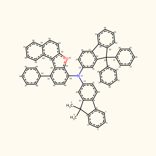 CC1(C)c2ccccc2-c2ccc(N(c3ccc4c(c3)C(c3ccccc3)(c3ccccc3)c3ccccc3-4)c3ccc(-c4ccccc4)c4c3oc3ccc5ccccc5c34)cc21